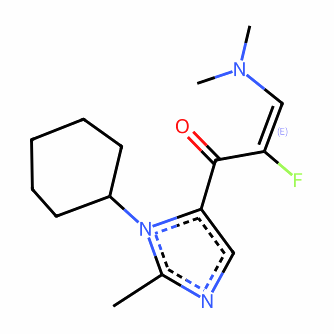 Cc1ncc(C(=O)/C(F)=C\N(C)C)n1C1CCCCC1